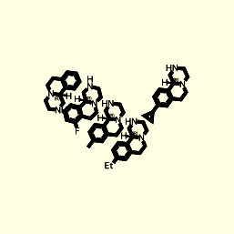 CCc1ccc2c(c1)CCN1CCNC[C@@H]21.Cc1ccc2c(c1)CCN1CCNC[C@@H]21.Fc1cccc2c1CCN1CCNC[C@@H]21.c1cc2c(cc1C1CC1)CCN1CCNC[C@@H]21.c1ccc2c(c1)CCN1CCNC[C@@H]21